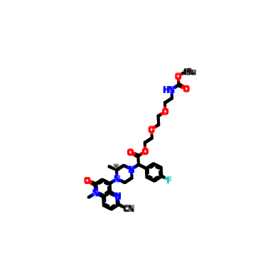 C[C@H]1CN(C(C(=O)OCCOCCOCCNC(=O)OC(C)(C)C)c2ccc(F)cc2)CCN1c1cc(=O)n(C)c2ccc(C#N)nc12